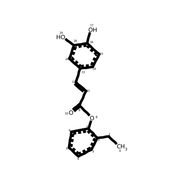 CCc1ccccc1OC(=O)/C=C/c1ccc(O)c(O)c1